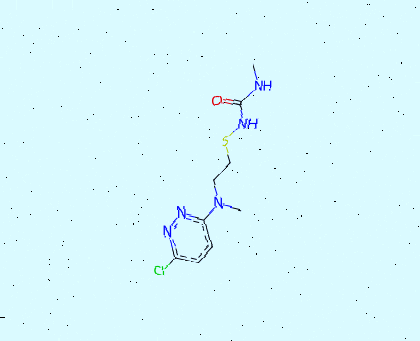 CNC(=O)NSCCN(C)c1ccc(Cl)nn1